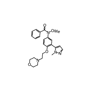 CON(C(=O)c1ccccc1)c1ccc(OCCN2CCOCC2)c(-c2ccnn2C)c1